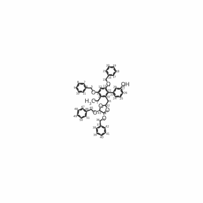 CCc1c(OCc2ccccc2)cc(OCc2ccccc2)c(-c2cccc(O)c2)c1CC1O[C@H](OCc2ccccc2)[C@@H](OCc2ccccc2)O1